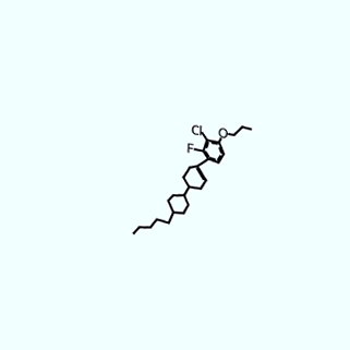 CCCCCC1CCC(C2CC=C(c3ccc(OCCC)c(Cl)c3F)CC2)CC1